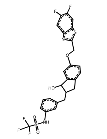 O=S(=O)(Nc1cccc(CC2Cc3ccc(OCc4nc5cc(F)c(F)cc5s4)cc3C2O)c1)C(F)(F)F